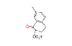 Cc1ccc2c(c1)C(=O)C(C(=O)O)CC2